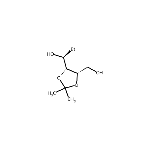 CC[C@H](O)[C@H]1OC(C)(C)O[C@H]1CO